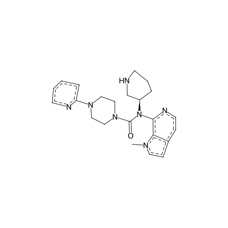 Cn1ccc2ccnc(N(C(=O)N3CCN(c4ccccn4)CC3)[C@@H]3CCCNC3)c21